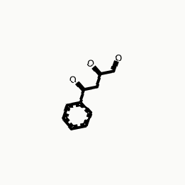 O=CC(=O)CC(=O)c1ccccc1